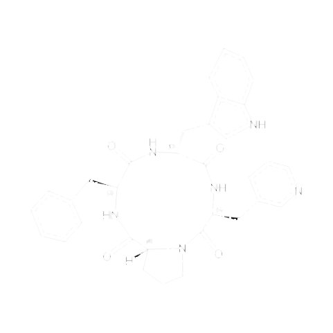 O=C1N[C@H](Cc2c[nH]c3ccccc23)C(=O)N[C@@H](Cc2cccnc2)C(=O)N2CCC[C@@H]2C(=O)N[C@H]1Cc1ccccc1